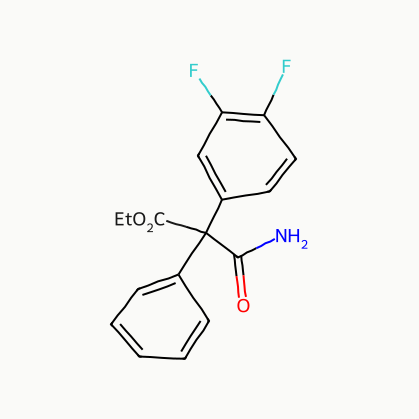 CCOC(=O)C(C(N)=O)(c1ccccc1)c1ccc(F)c(F)c1